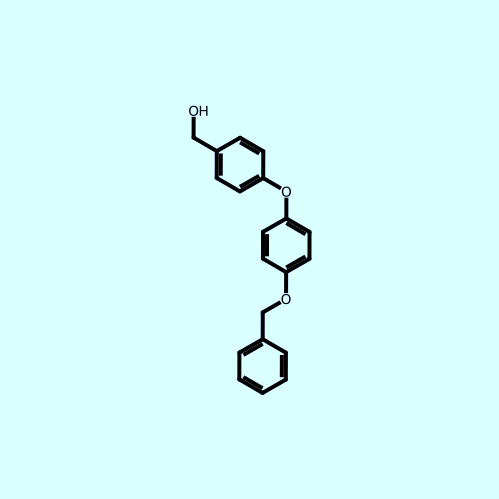 OCc1ccc(Oc2ccc(OCc3ccccc3)cc2)cc1